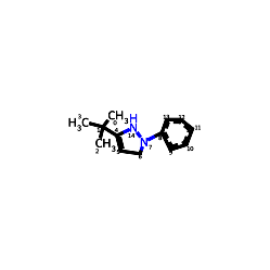 CC(C)(C)C1=CCN(c2ccccc2)N1